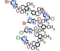 CC1c2cc(Cl)ccc2CCN1C(=O)c1cc2ncc(Cl)cn2n1.Cc1ccc2c(c1)C(C)N(C(=O)c1cc3ncc(Br)cn3n1)CC2.Cc1ccc2c(c1)C(C)N(C(=O)c1cc3ncc(Cl)cn3n1)CC2.Cc1cccc2c1CCN(C(=O)c1cc3ncc(Br)cn3n1)C2C.Cc1cccc2c1CCN(C(=O)c1cc3ncc(Cl)cn3n1)C2C